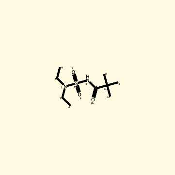 CCN(CC)S(=O)(=O)NC(=O)C(C)(C)C